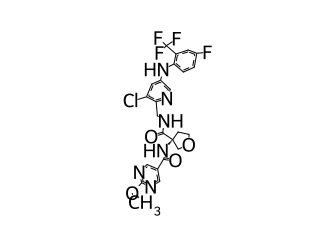 COc1ncc(C(=O)N[C@@]2(C(=O)NCc3ncc(Nc4ccc(F)cc4C(F)(F)F)cc3Cl)CCOC2)cn1